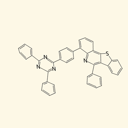 c1ccc(-c2nc(-c3ccccc3)nc(-c3ccc(-c4cccc5c4nc(-c4ccccc4)c4c6ccccc6sc54)cc3)n2)cc1